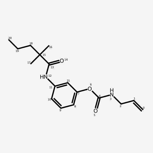 C=CCNC(=O)Oc1cccc(NC(=O)C(C)(C)CCC)c1